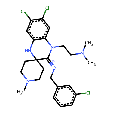 CN(C)CCN1/C(=N/Cc2cccc(Cl)c2)C2(CCN(C)CC2)Nc2cc(Cl)c(Cl)cc21